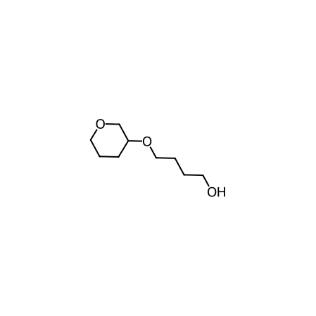 OCCCCOC1CCCOC1